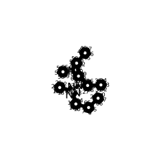 c1ccc(-c2cccc(-c3cccc(-c4nc(-c5ccccc5)nc(-n5c6ccc(-c7ccccc7)cc6c6cc7c8cc(-c9ccccc9)ccc8n(-c8ccccc8)c7cc65)n4)c3)c2)cc1